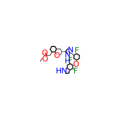 CCOC(=O)Cc1cccc2c1OC[C@H](c1cnc(-c3cc(Oc4c(F)cc5[nH]ccc5c4F)ccc3F)[nH]1)C2